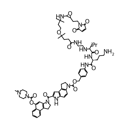 CC(C)C(NCCNC(=O)CCC(C)(C)OCCC(C)(C)NC1OC1CCN1C(=O)C=CC1=O)C(=O)N[C@@H](CCCN)C(=O)Nc1ccc(COC(=O)N2CCc3c2ccc2[nH]c(C(=O)N4CCc5c4cc(OC(=O)N4CCN(C)CC4)c4ccccc54)cc32)cc1